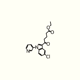 CCOC(=O)CCCC(=O)c1cn(-c2cccnc2)c2ccc(Cl)cc12